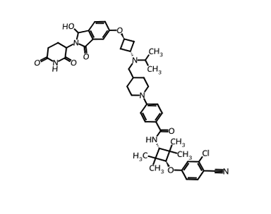 CC(C)N(CC1CCN(c2ccc(C(=O)N[C@H]3C(C)(C)[C@H](Oc4ccc(C#N)c(Cl)c4)C3(C)C)cc2)CC1)[C@H]1C[C@H](Oc2ccc3c(c2)C(=O)N(C2CCC(=O)NC2=O)C3O)C1